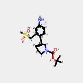 CC(C)(C)OC(=O)N1CCC=C(c2ccc(N)cc2CS(C)(=O)=O)C1